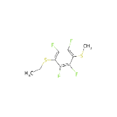 CCSC(=C\F)/C(F)=C(F)\C(=C\F)SC